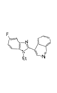 CCn1c(-c2cncc3ccccc23)nc2cc(F)ccc21